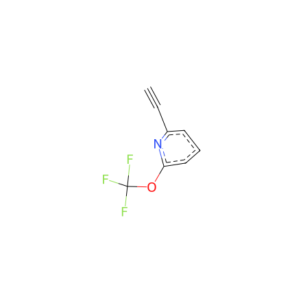 C#Cc1cccc(OC(F)(F)F)n1